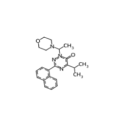 CC(C)c1nc(-c2cccc3ccccc23)nn(C(C)N2CCOCC2)c1=O